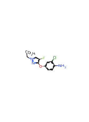 Nc1ccc(Oc2nn(CC(=O)O)cc2F)cc1Cl